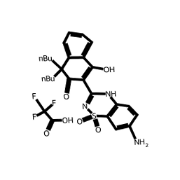 CCCCC1(CCCC)C(=O)C(C2=NS(=O)(=O)c3cc(N)ccc3N2)=C(O)c2ccccc21.O=C(O)C(F)(F)F